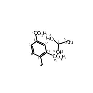 CCCCC(O)O.Cc1ccc(C(=O)O)cc1C(=O)O